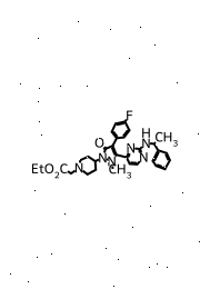 CCOC(=O)CN1CCC(n2c(=O)c(-c3ccc(F)cc3)c(-c3ccnc(N[C@@H](C)c4ccccc4)n3)n2C)CC1